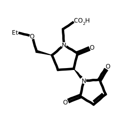 CCOC[C@@H]1C[C@H](N2C(=O)C=CC2=O)C(=O)N1CC(=O)O